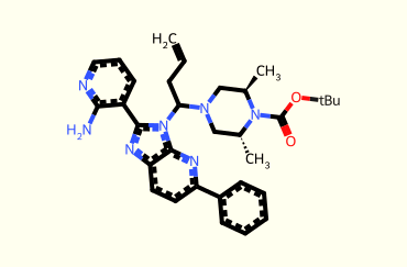 C=CCC(N1C[C@@H](C)N(C(=O)OC(C)(C)C)[C@H](C)C1)n1c(-c2cccnc2N)nc2ccc(-c3ccccc3)nc21